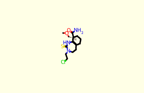 COC[C@]1(C(N)=O)CCCC2=C1NC(=S)N(CCCl)CC2